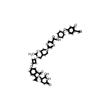 CC(C)N(CC1CCN(c2cnc(C(=O)N[C@H]3CC[C@H](Oc4ccc(C#N)c(Cl)c4)CC3)cn2)CC1)[C@H]1C[C@H](Oc2ccc3c(c2)C(=O)N(C2CCC(=O)NC2O)C32CC2)C1